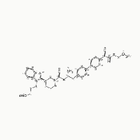 COCCCn1c([C@@H]2CCCN(C(=O)C[C@H](N)Cc3ccc(-c4ccc(C(=O)NCCOC(C)C)cc4)cc3)C2)nc2ccccc21